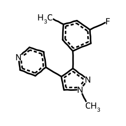 Cc1cc(F)cc(-c2nn(C)cc2-c2ccncc2)c1